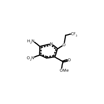 COC(=O)c1cc([N+](=O)[O-])c(N)nc1OCC(F)(F)F